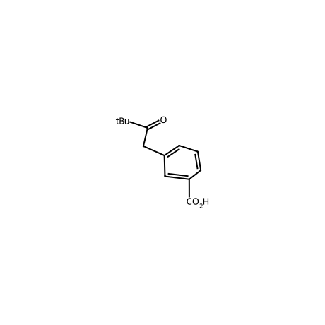 CC(C)(C)C(=O)Cc1cccc(C(=O)O)c1